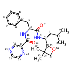 CC(C)C[C@H](NC(=O)[C@H](Cc1ccccc1)NC(=O)c1cnccn1)B1OCC1(C)C